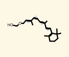 CC1=C(/C=C/C(C)=C/C=C\C(C)=C\COCO)C(C)(C)CCC1